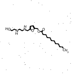 CCCCCCCCCCCC(=O)OCc1ccc(CNCCNCCO)o1